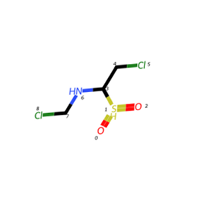 O=[SH](=O)C(CCl)NCCl